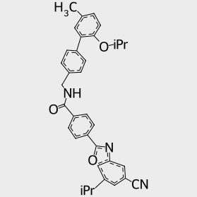 Cc1ccc(OC(C)C)c(-c2ccc(CNC(=O)c3ccc(-c4nc5cc(C#N)cc(C(C)C)c5o4)cc3)cc2)c1